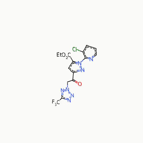 CCOC(=O)c1cc(C(=O)Cn2nnc(C(F)(F)F)n2)nn1-c1ncccc1Cl